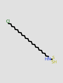 S=C(S)NCCCCCCCCCCCCCCCCCCCCCCCCCl